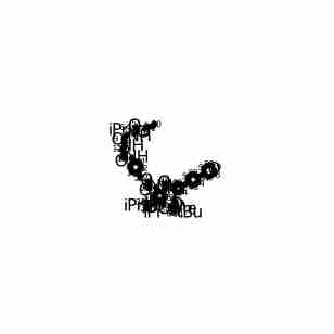 C=CCOC(=O)N[C@H](C(=O)N[C@@H](C)C(=O)Nc1ccc(COC(=O)Nc2cc(O[Si](C(C)C)(C(C)C)C(C)C)c(OC)cc2C(=O)N2C=C(c3ccc(C4CCOCC4)cc3)C[C@H]2CO[Si](C)(C)C(C)(C)C)cc1)C(C)C